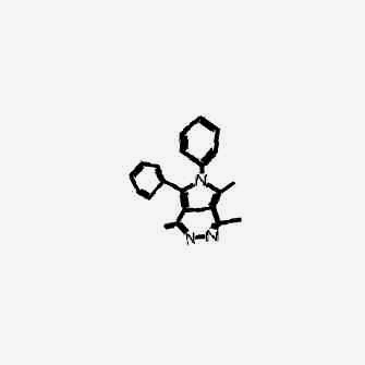 Cc1nnc(C)c2c(-c3ccccc3)n(-c3ccccc3)c(C)c12